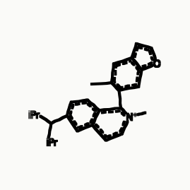 Cc1cc2ccoc2cc1-c1c2ccc(C(C(C)C)C(C)C)cc2cc[n+]1C